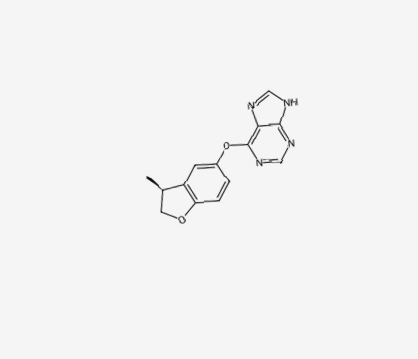 C[C@@H]1COc2ccc(Oc3ncnc4[nH]cnc34)cc21